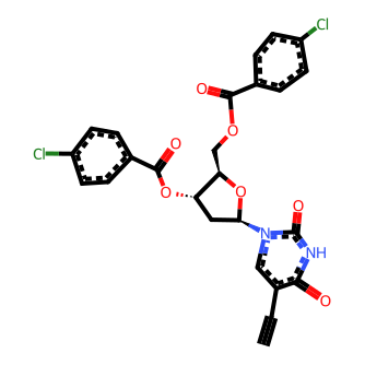 C#Cc1cn([C@H]2C[C@H](OC(=O)c3ccc(Cl)cc3)[C@@H](COC(=O)c3ccc(Cl)cc3)O2)c(=O)[nH]c1=O